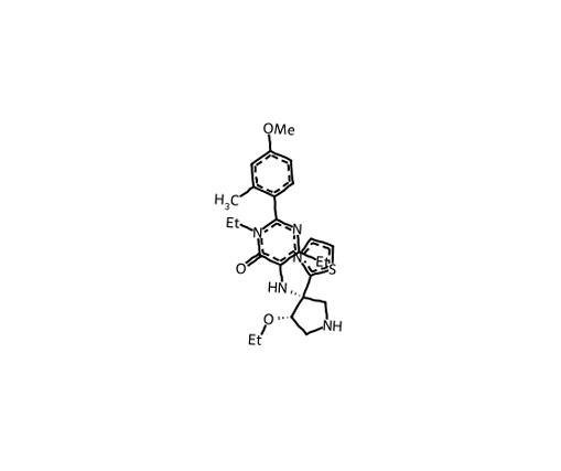 CCO[C@H]1CNC[C@]1(Nc1c(CC)nc(-c2ccc(OC)cc2C)n(CC)c1=O)c1nccs1